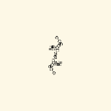 CCCCC1(CCCC)c2cc(-c3cc4sc(-c5ccc6c(c5)C(CCCC)(CCCC)c5cc7c(cc5-6)oc5ccc(-c6ccccc6)cc57)cc4s3)ccc2-c2cc3oc4ccc(-c5ccccc5)cc4c3cc21